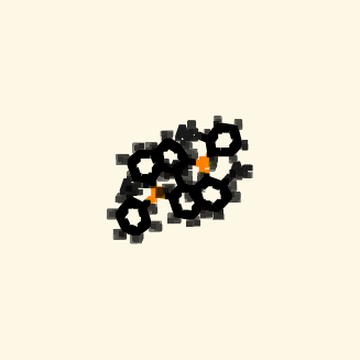 CC(=O)c1ccccc1P(c1ccccc1C(C)=O)c1ccccc1-c1ccccc1P(c1ccccc1C(C)=O)c1ccccc1C(C)=O